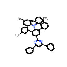 N#Cc1ccc2c(c1)c1ccccc1n2-c1c(-c2cccc(C(F)(F)F)c2)cc(-c2nc(-c3ccccc3)cc(-c3ccccc3)n2)cc1-c1cccc(C(F)(F)F)c1